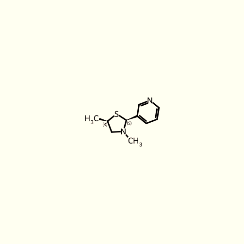 C[C@@H]1CN(C)[C@H](c2cccnc2)S1